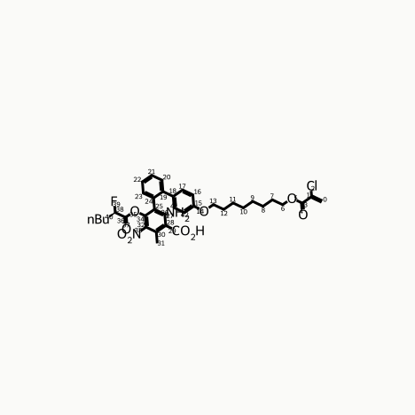 C=C(Cl)C(=O)OCCCCCCCCOc1ccc(-c2ccccc2-c2c(N)c(C(=O)O)c(C)c([N+](=O)[O-])c2OC(=O)[C@H](F)CCCC)cc1